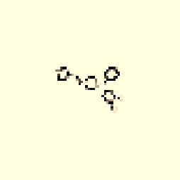 Clc1ccc(C(c2ccccc2)N2CCC(N=Cc3ccncc3)CC2)cc1Cl